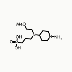 COCCN(CCCP(=O)(O)O)C1CCN(N)CC1